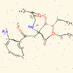 CCOC(=O)C(CC(=O)c1ccccc1N)(NC(C)=O)C(=O)OCC